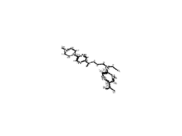 CCN(CCCC(C)c1cnc(N2CCN(C)CC2)cn1)c1cnc(C(C)C)cn1